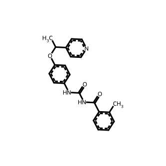 Cc1ccccc1C(=O)NC(=O)Nc1ccc(OC(C)c2ccncc2)cc1